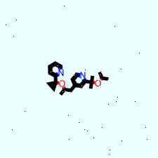 CC(C)OC(C)(C)c1cc(CC(C)OC2(c3ccccn3)CC2)ccn1